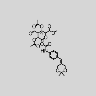 COC(=O)C1O[C@@H](OC(=O)Nc2ccc(C=C3COC(C)(C)OC3)cc2)C(OC(C)=O)C(C=O)[C@@H]1OC(C)=O